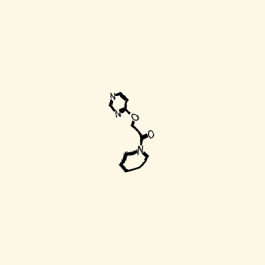 O=C(COc1ccncn1)N1CCCCC1